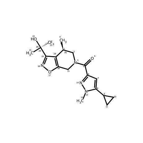 C[C@H]1CN(C(=O)c2cc(C3CC3)n(C)n2)Cc2onc([C@@](C)(O)C(F)(F)F)c21